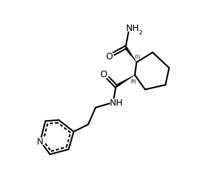 NC(=O)[C@H]1CCCC[C@H]1C(=O)NCCc1ccncc1